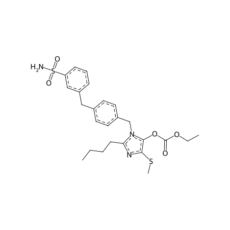 CCCCc1nc(SC)c(OC(=O)OCC)n1Cc1ccc(Cc2cccc(S(N)(=O)=O)c2)cc1